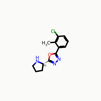 Cc1c(Cl)cccc1-c1nnc([C@@H]2CCCN2)o1